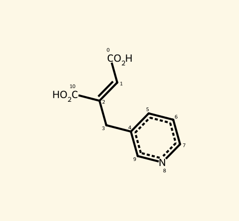 O=C(O)C=C(Cc1cccnc1)C(=O)O